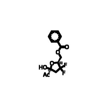 CC(=O)[C@@]1(O)CC(F)(F)[C@H](COC(=O)c2ccccc2)O1